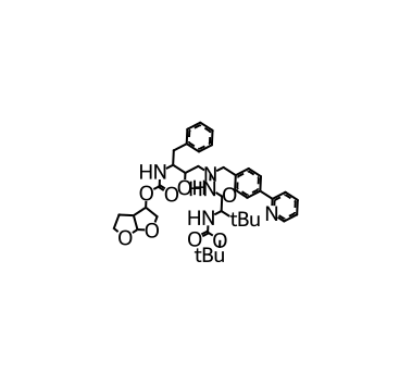 CC(C)(C)OC(=O)NC(C(=O)NN(Cc1ccc(-c2ccccn2)cc1)CC(O)C(Cc1ccccc1)NC(=O)OC1COC2OCCC12)C(C)(C)C